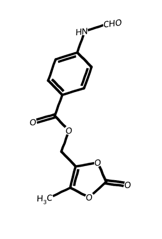 Cc1oc(=O)oc1COC(=O)c1ccc(NC=O)cc1